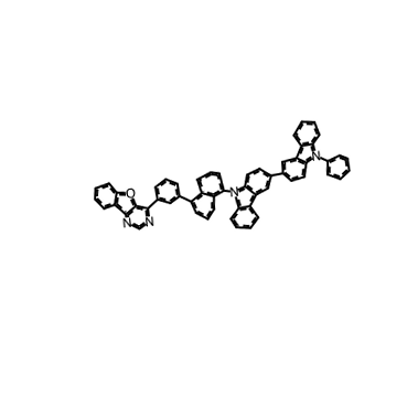 c1ccc(-n2c3ccccc3c3cc(-c4ccc5c(c4)c4ccccc4n5-c4cccc5c(-c6cccc(-c7ncnc8c7oc7ccccc78)c6)cccc45)ccc32)cc1